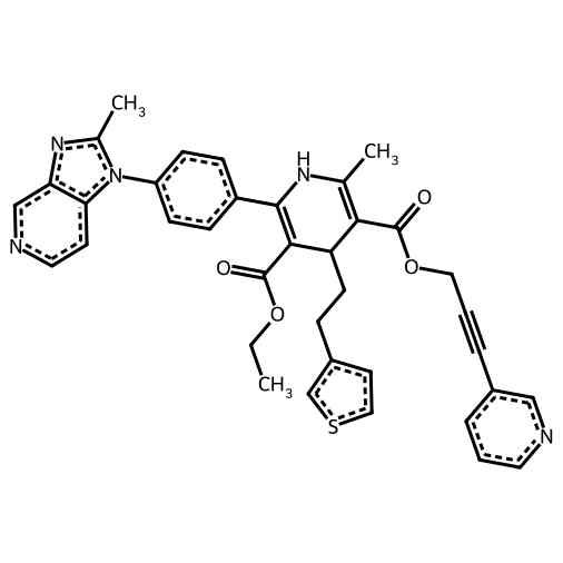 CCOC(=O)C1=C(c2ccc(-n3c(C)nc4cnccc43)cc2)NC(C)=C(C(=O)OCC#Cc2cccnc2)C1CCc1ccsc1